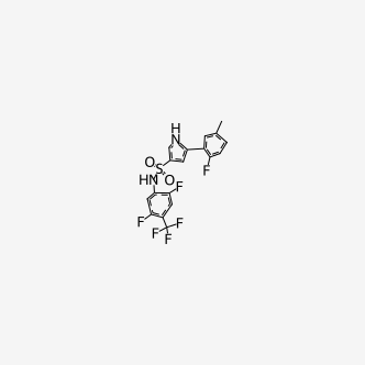 Cc1ccc(F)c(-c2cc(S(=O)(=O)Nc3cc(F)c(C(F)(F)F)cc3F)c[nH]2)c1